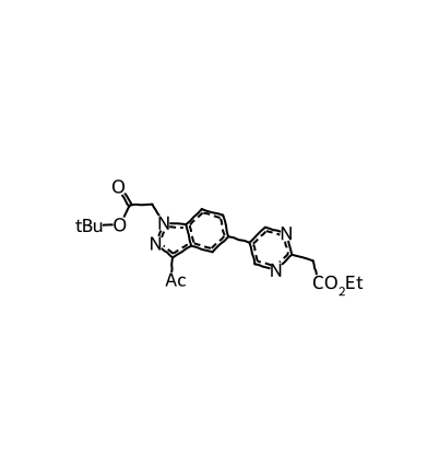 CCOC(=O)Cc1ncc(-c2ccc3c(c2)c(C(C)=O)nn3CC(=O)OC(C)(C)C)cn1